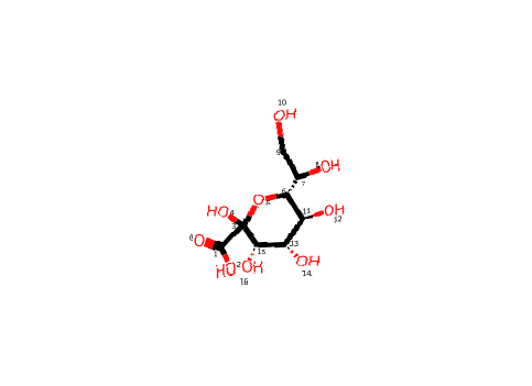 O=C(O)C1(O)O[C@H](C(O)CO)[C@@H](O)[C@H](O)[C@@H]1O